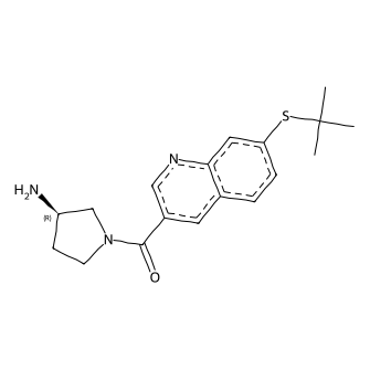 CC(C)(C)Sc1ccc2cc(C(=O)N3CC[C@@H](N)C3)cnc2c1